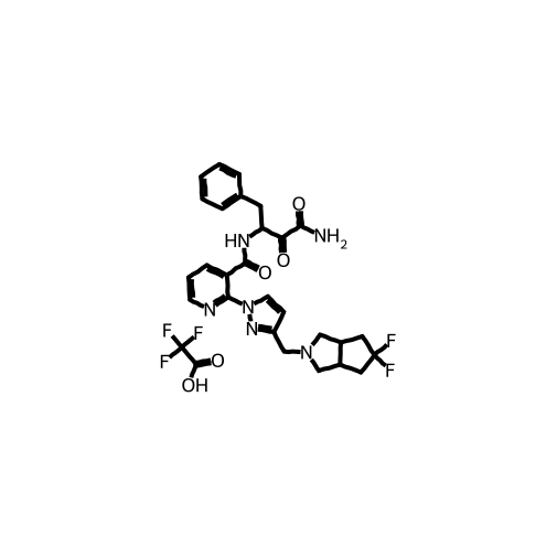 NC(=O)C(=O)C(Cc1ccccc1)NC(=O)c1cccnc1-n1ccc(CN2CC3CC(F)(F)CC3C2)n1.O=C(O)C(F)(F)F